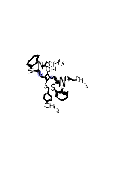 CCCN1/C(=C\C2=C(SCc3ccc(C)cc3)C(=C\c3sc4ccccc4[n+]3CCC)/C2O)Sc2ccccc21